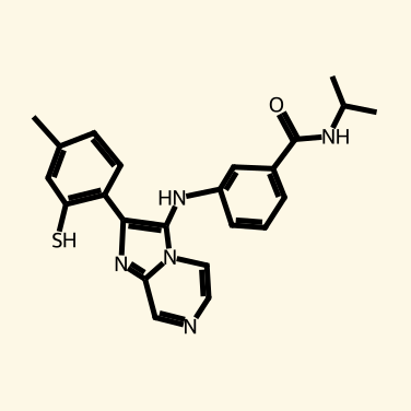 Cc1ccc(-c2nc3cnccn3c2Nc2cccc(C(=O)NC(C)C)c2)c(S)c1